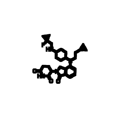 O=C1CCC(N2Cc3c(cccc3N(CCC3CC3)C3CCC(NCC4(F)CC4)CC3)C2=O)C(=O)N1